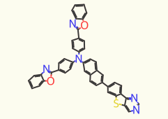 c1ccc2oc(-c3ccc(N(c4ccc(-c5nc6ccccc6o5)cc4)c4ccc5cc(-c6ccc7c(c6)sc6cncnc67)ccc5c4)cc3)nc2c1